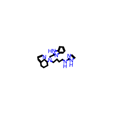 c1cnc2c(c1)CCCC2N(CCCCNc1ncc[nH]1)Cc1nc2ccccc2[nH]1